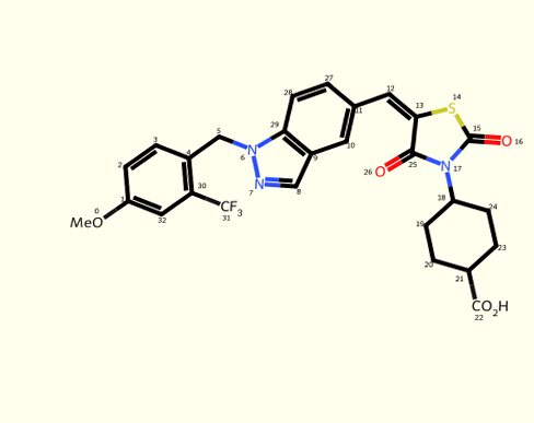 COc1ccc(Cn2ncc3cc(C=C4SC(=O)N(C5CCC(C(=O)O)CC5)C4=O)ccc32)c(C(F)(F)F)c1